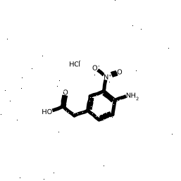 Cl.Nc1ccc(CC(=O)O)cc1[N+](=O)[O-]